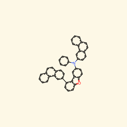 c1ccc(N(c2ccc3ccc4ccccc4c3c2)c2ccc3oc4cccc(-c5ccc6ccc7ccccc7c6c5)c4c3c2)cc1